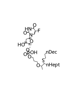 CCCCCCCCCCCCSC(CCCCCCC)C(C)OCCCOP(=O)(O)OC[C@H]1O[C@@H](n2cc(F)c(=O)[nH]c2=O)C[C@@H]1O